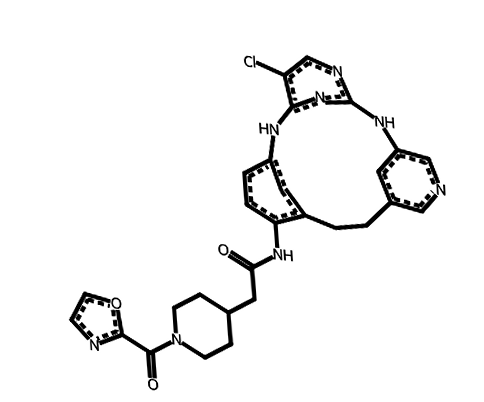 O=C(CC1CCN(C(=O)c2ncco2)CC1)Nc1ccc2cc1CCc1cncc(c1)Nc1ncc(Cl)c(n1)N2